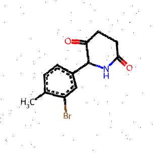 Cc1ccc(C2NC(=O)CCC2=O)cc1Br